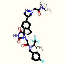 C[C@H](N(Cc1ccc(F)cc1)C(=O)CN1C(=O)NC(=O)[C@@]12CCc1cc(-c3cnn(CC(=O)N(C)C)c3)ccc12)C(F)(F)F